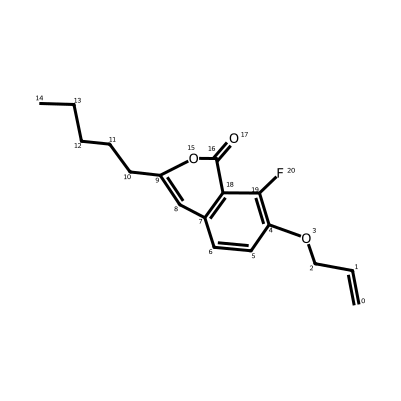 C=CCOc1ccc2cc(CCCCC)oc(=O)c2c1F